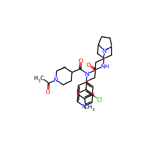 CC(=O)N1CCC(C(=O)N(CCCN2C3CCC2CC(NC(=O)CCc2ccncc2)C3)c2ccc(C)c(Cl)c2)CC1